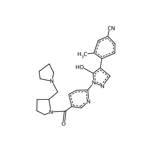 Cc1cc(C#N)ccc1-c1cnn(-c2ccc(C(=O)N3CCCC3CN3CCCC3)cn2)c1O